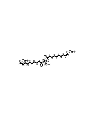 CCCCCCCC/C=C\CCCCCCCC(=O)OP(O)OC(=O)CCCCCCC/C=C\CCCCCCCC